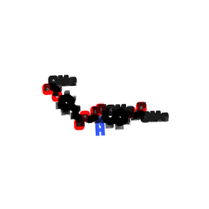 COC(=O)COc1ccc(CCC(=O)OCC(=O)NC(Cc2ccc(OCC(=O)OC)cc2)C(=O)OC)cc1